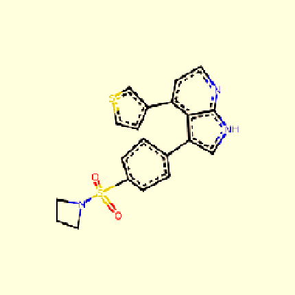 O=S(=O)(c1ccc(-c2c[nH]c3nccc(-c4ccsc4)c23)cc1)N1CCC1